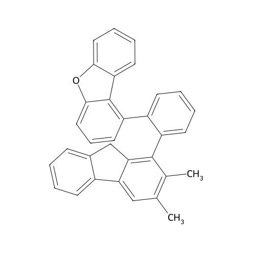 Cc1cc2c(c(-c3ccccc3-c3cccc4oc5ccccc5c34)c1C)Cc1ccccc1-2